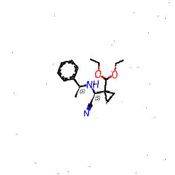 CCOC(OCC)C1([C@@H](C#N)N[C@@H](C)c2ccccc2)CC1